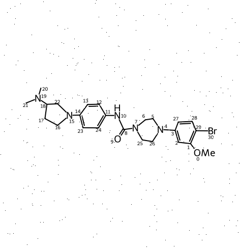 COc1cc(N2CCN(C(=O)Nc3ccc(N4CCC(N(C)C)C4)cc3)CC2)ccc1Br